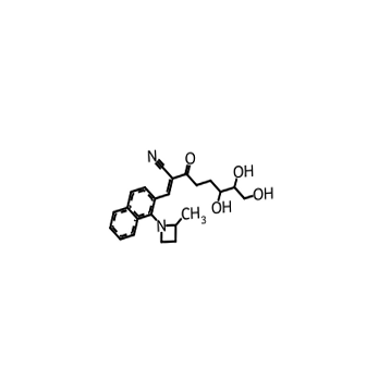 CC1CCN1c1c(/C=C(\C#N)C(=O)CCC(O)C(O)CO)ccc2ccccc12